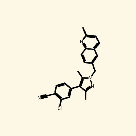 Cc1ccc2cc(Cn3nc(C)c(-c4ccc(C#N)c(Cl)c4)c3C)ccc2n1